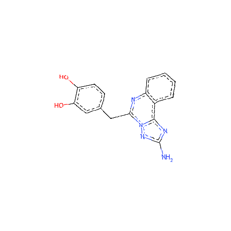 Nc1nc2c3ccccc3nc(Cc3ccc(O)c(O)c3)n2n1